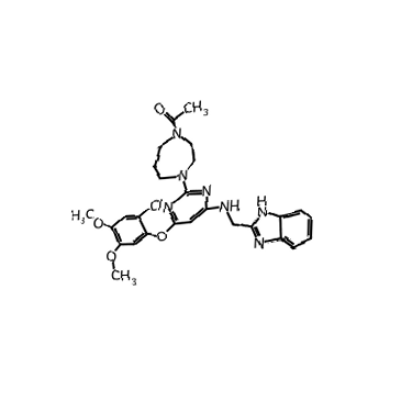 COc1cc(Cl)c(Oc2cc(NCc3nc4ccccc4[nH]3)nc(N3CCCN(C(C)=O)CC3)n2)cc1OC